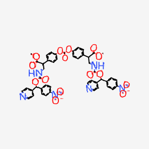 COC(=O)C(CNC(=O)OC(c1ccncc1)c1ccc([N+](=O)[O-])cc1)c1ccc(OC(=O)Oc2ccc(C(CNC(=O)OC(c3ccncc3)c3ccc([N+](=O)[O-])cc3)C(=O)OC)cc2)cc1